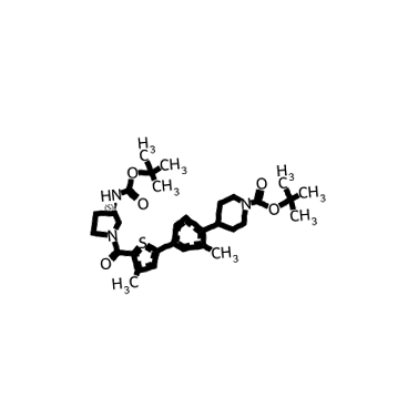 Cc1cc(-c2cc(C)c(C(=O)N3CC[C@H](NC(=O)OC(C)(C)C)C3)s2)ccc1C1CCN(C(=O)OC(C)(C)C)CC1